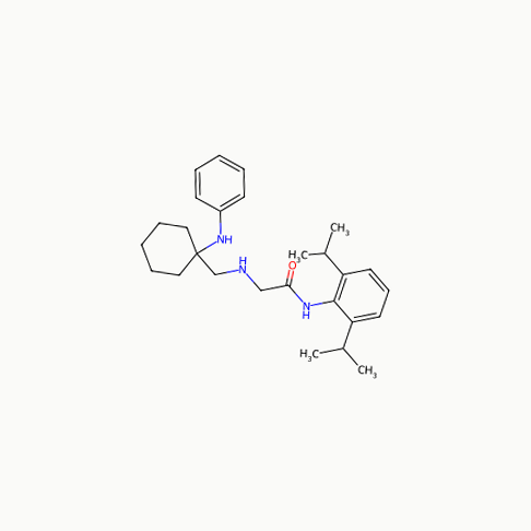 CC(C)c1cccc(C(C)C)c1NC(=O)CNCC1(Nc2ccccc2)CCCCC1